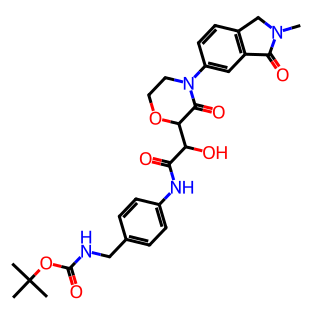 CN1Cc2ccc(N3CCOC(C(O)C(=O)Nc4ccc(CNC(=O)OC(C)(C)C)cc4)C3=O)cc2C1=O